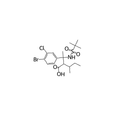 CCC(C)C(C(=O)O)C(C)(NS(=O)(=O)C(C)(C)C)c1ccc(Br)c(Cl)c1